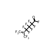 O=C(F)C(F)(F)C(F)(F)C(F)(F)N(C(F)(F)F)C(F)(F)F